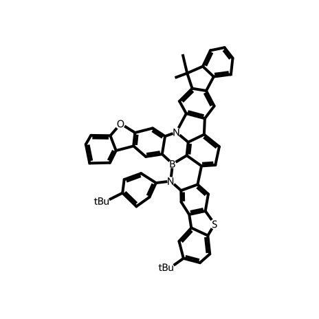 CC(C)(C)c1ccc(N2B3c4cc5c(cc4-n4c6cc7c(cc6c6ccc(c3c64)-c3cc4sc6ccc(C(C)(C)C)cc6c4cc32)-c2ccccc2C7(C)C)oc2ccccc25)cc1